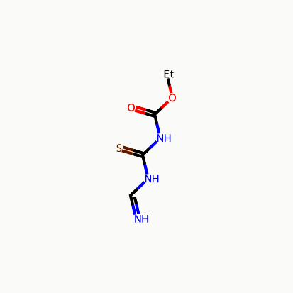 CCOC(=O)NC(=S)NC=N